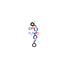 CCOc1cccc(F)c1CN1CCN(C(=O)[C@H](N)C2CCN(CCC3CCCCC3)CC2)CC1